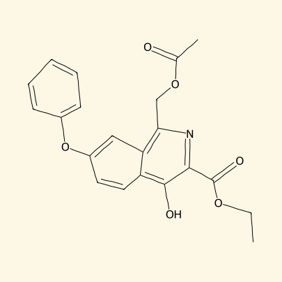 CCOC(=O)c1nc(COC(C)=O)c2cc(Oc3ccccc3)ccc2c1O